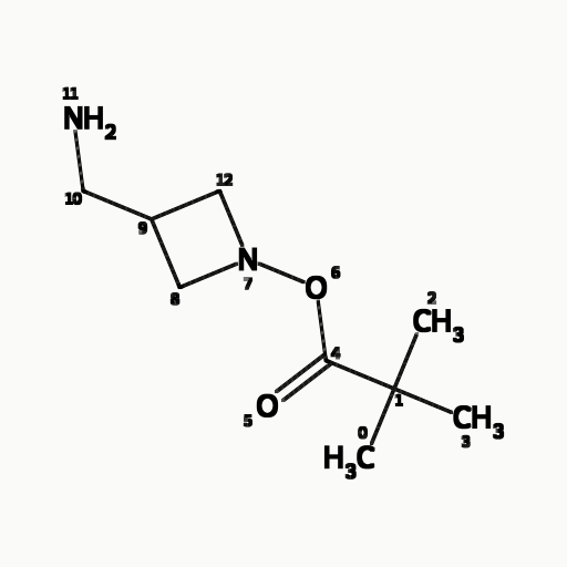 CC(C)(C)C(=O)ON1CC(CN)C1